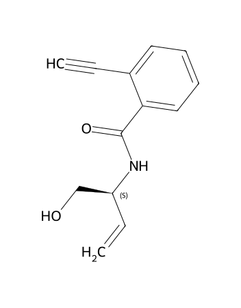 C#Cc1ccccc1C(=O)N[C@@H](C=C)CO